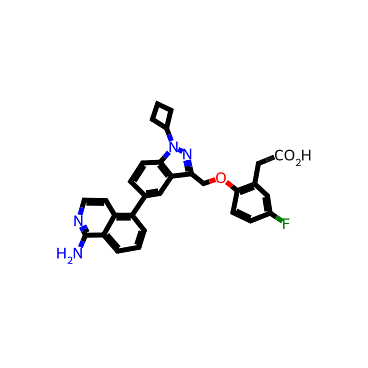 Nc1nccc2c(-c3ccc4c(c3)c(COc3ccc(F)cc3CC(=O)O)nn4C3CCC3)cccc12